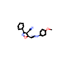 COc1ccc(N/C=C/c2onc(-c3ccccc3)c2C#N)cc1